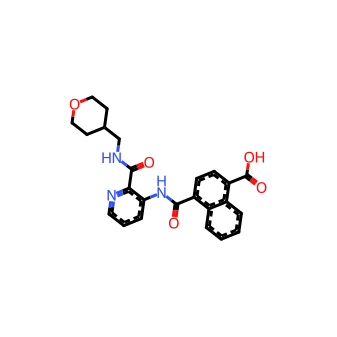 O=C(NCC1CCOCC1)c1ncccc1NC(=O)c1ccc(C(=O)O)c2ccccc12